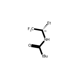 CC[C@H](NC(=O)C(C)(C)C)C(F)(F)F